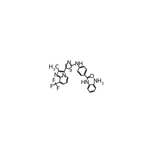 Cc1nc2c(C(F)(F)F)cccn2c1-c1cnc(Nc2ccc(C(=O)Nc3ccccc3N)cc2)s1